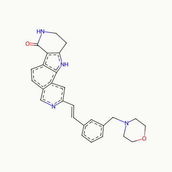 O=C1NCCc2[nH]c3c(ccc4cnc(C=Cc5cccc(CN6CCOCC6)c5)cc43)c21